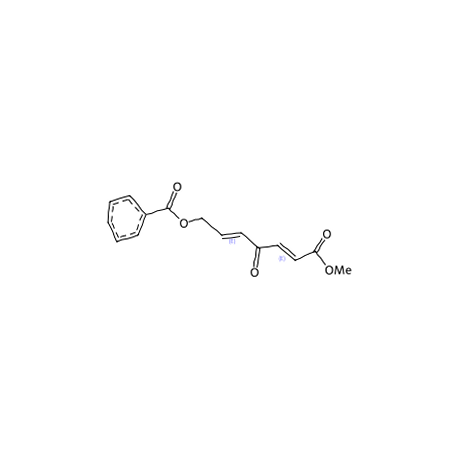 COC(=O)/C=C/C(=O)/C=C/COC(=O)c1ccccc1